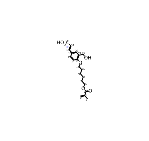 C=C(C)C(=O)OCCCCCCOc1ccc(/C=C/C(=O)O)cc1CO